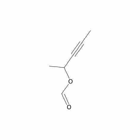 CC#CC(C)OC=O